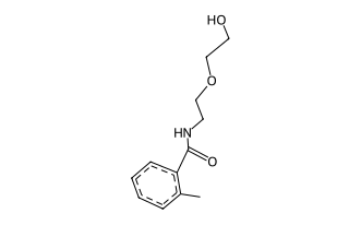 Cc1ccccc1C(=O)NCCOCCO